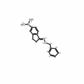 OB(O)c1ccc2c(c1)CCC2=NOCc1ccccc1